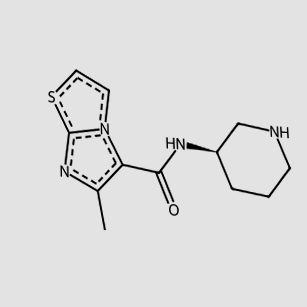 Cc1nc2sccn2c1C(=O)N[C@@H]1CCCNC1